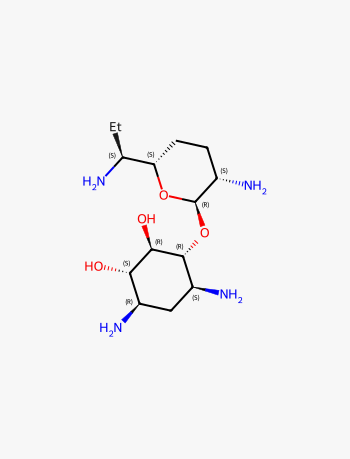 CC[C@H](N)[C@@H]1CC[C@H](N)[C@@H](O[C@H]2[C@H](O)[C@@H](O)[C@H](N)C[C@@H]2N)O1